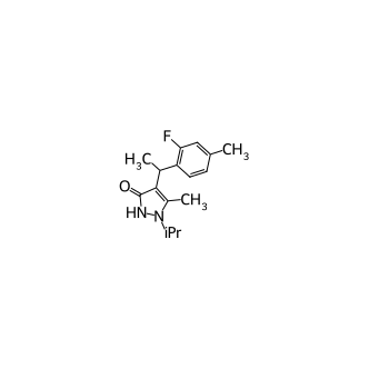 Cc1ccc(C(C)c2c(C)n(C(C)C)[nH]c2=O)c(F)c1